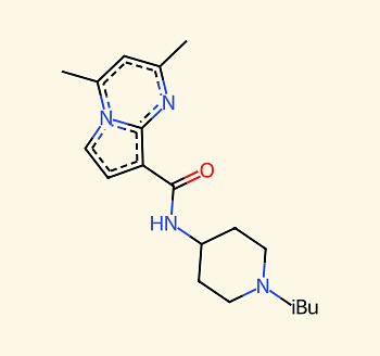 CCC(C)N1CCC(NC(=O)c2ccn3c(C)cc(C)nc23)CC1